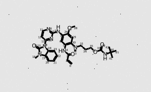 C=CC(=O)Nc1cc(Nc2nccc(-n3c(=O)n(C)c4ccccc43)n2)c(OC)cc1N(C)CCCOC(=O)NC(C)(C)C